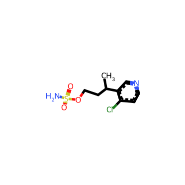 CC(CCOS(N)(=O)=O)c1cnccc1Cl